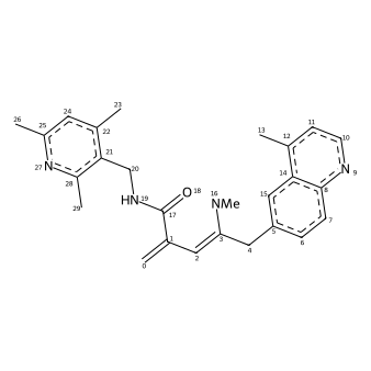 C=C(/C=C(/Cc1ccc2nccc(C)c2c1)NC)C(=O)NCc1c(C)cc(C)nc1C